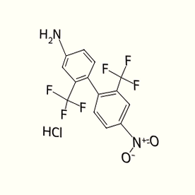 Cl.Nc1ccc(-c2ccc([N+](=O)[O-])cc2C(F)(F)F)c(C(F)(F)F)c1